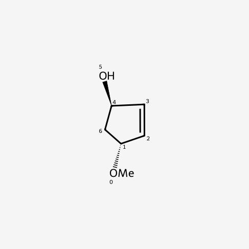 CO[C@H]1C=C[C@H](O)C1